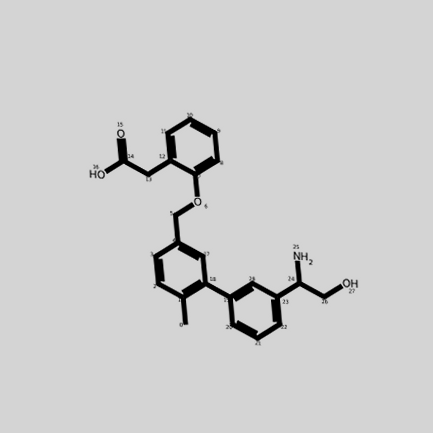 Cc1ccc(COc2ccccc2CC(=O)O)cc1-c1cccc(C(N)CO)c1